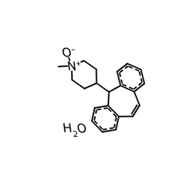 C[N+]1([O-])CCC(C2c3ccccc3C=Cc3ccccc32)CC1.O